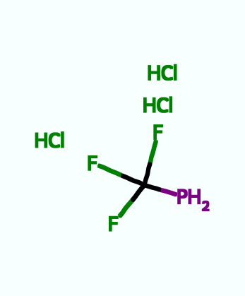 Cl.Cl.Cl.FC(F)(F)P